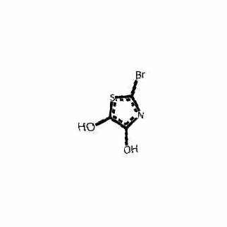 Oc1nc(Br)sc1O